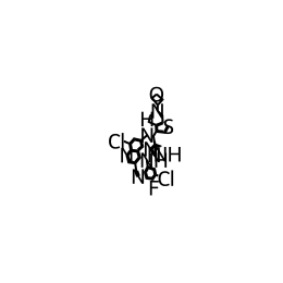 N#Cc1cnc2c(Cl)cc(N[C@H](c3c[nH]nn3)c3csc4c3CCN(C3COC3)C4)cc2c1Nc1ccc(F)c(Cl)c1